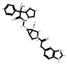 O=C(Cc1ccc2c(c1)OCO2)N1CC2[C@H](CNC(=O)C(O)(c3ccccc3)C3CCCC3)[C@H]2C1